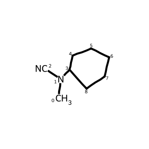 CN(C#N)C1CCCCC1